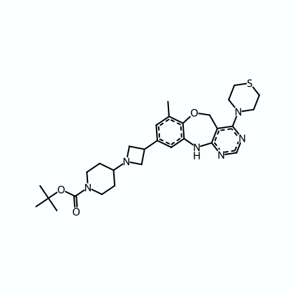 Cc1cc(C2CN(C3CCN(C(=O)OC(C)(C)C)CC3)C2)cc2c1OCc1c(ncnc1N1CCSCC1)N2